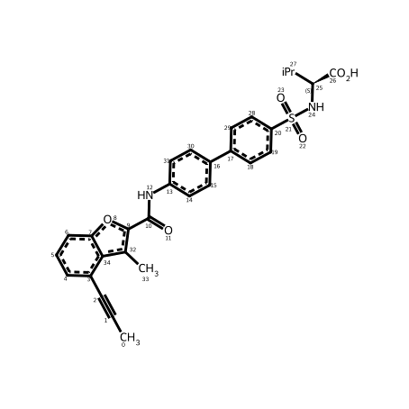 CC#Cc1cccc2oc(C(=O)Nc3ccc(-c4ccc(S(=O)(=O)N[C@H](C(=O)O)C(C)C)cc4)cc3)c(C)c12